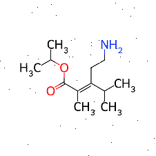 CC(C(=O)OC(C)C)=C(CCN)C(C)C